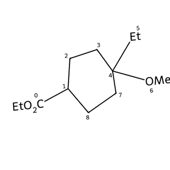 CCOC(=O)C1CCC(CC)(OC)CC1